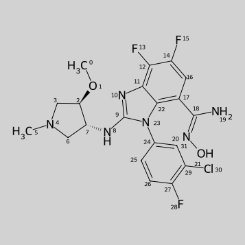 CO[C@@H]1CN(C)C[C@H]1Nc1nc2c(F)c(F)cc(C(N)=NO)c2n1-c1ccc(F)c(Cl)c1